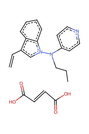 C=Cc1cn(N(CCC)c2ccncc2)c2ccccc12.O=C(O)C=CC(=O)O